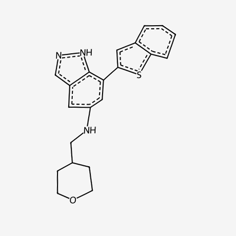 c1ccc2sc(-c3cc(NCC4CCOCC4)cc4cn[nH]c34)cc2c1